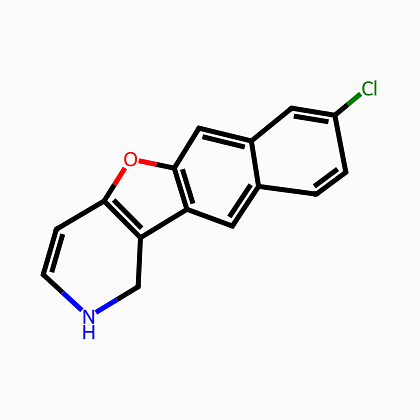 Clc1ccc2cc3c4c(oc3cc2c1)C=CNC4